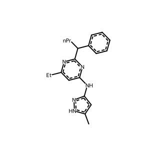 CCCC(c1ccccc1)c1nc(CC)cc(Nc2cc(C)[nH]n2)n1